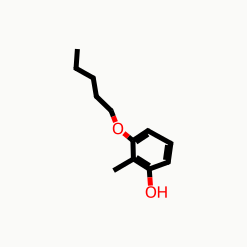 CCCCCOc1cccc(O)c1C